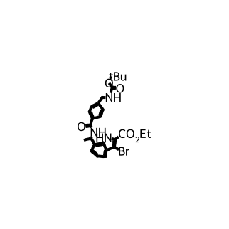 CCOC(=O)c1[nH]c2c(C(C)NC(=O)c3ccc(CNC(=O)OC(C)(C)C)cc3)cccc2c1Br